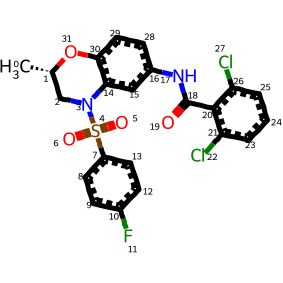 C[C@H]1CN(S(=O)(=O)c2ccc(F)cc2)c2cc(NC(=O)c3c(Cl)cccc3Cl)ccc2O1